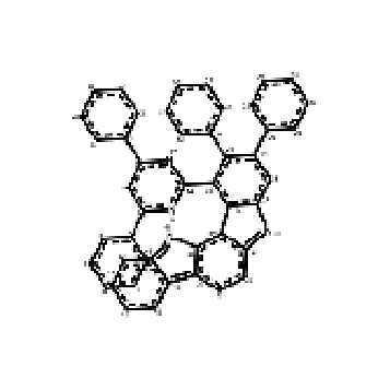 c1ccc(-c2cc(-c3ccccc3)nc(-c3c4c(cc(-c5ccccc5)c3-c3ccccc3)N=c3ccc5c(c3-4)N=c3ccccc3=5)n2)cc1